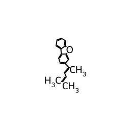 CC(C)=C/C=C(\C)c1ccc2c(c1)oc1ccccc12